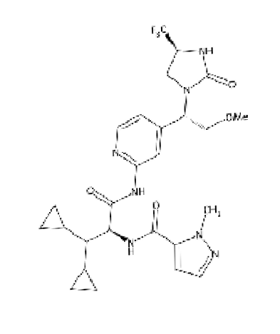 COC[C@H](c1ccnc(NC(=O)[C@@H](NC(=O)c2ccnn2C)C(C2CC2)C2CC2)c1)N1C[C@@H](C(F)(F)F)NC1=O